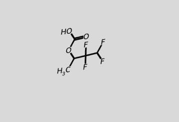 CC(OC(=O)O)C(F)(F)C(F)F